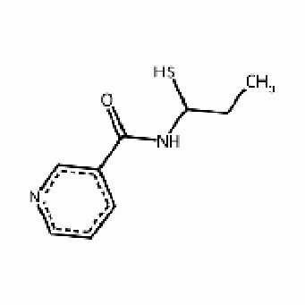 CCC(S)NC(=O)c1cccnc1